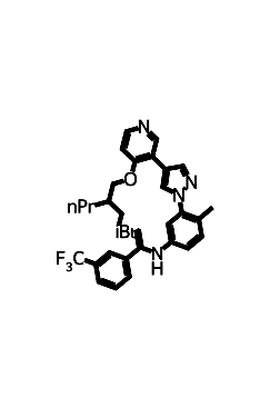 C=C(Nc1ccc(C)c(-n2cc(-c3cnccc3OCC(CCC)CC(C)CC)cn2)c1)c1cccc(C(F)(F)F)c1